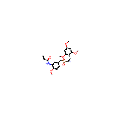 C=CC(=O)Nc1cc(CS(=O)(=O)/C=C\c2c(OC)cc(OC)cc2OC)ccc1OC